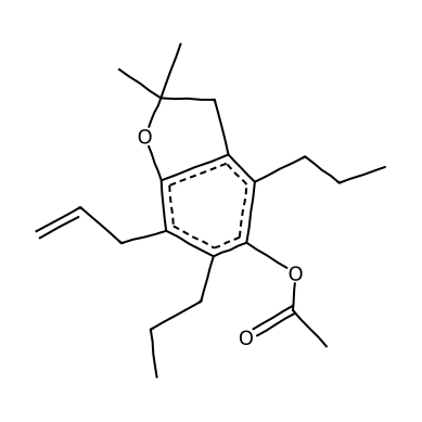 C=CCc1c(CCC)c(OC(C)=O)c(CCC)c2c1OC(C)(C)C2